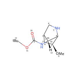 CO[C@H]1CC2CNC1[C@@H]2NC(=O)OC(C)(C)C